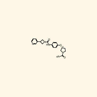 CCCC(=O)N1CC[C@@H](Oc2ccc(NC(=O)N3CC(c4cccnc4)C3)cc2)C1